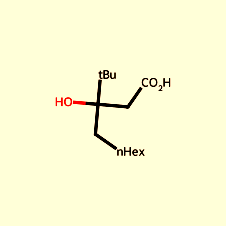 CCCCCCCC(O)(CC(=O)O)C(C)(C)C